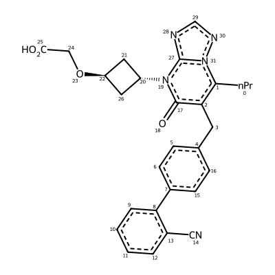 CCCc1c(Cc2ccc(-c3ccccc3C#N)cc2)c(=O)n([C@H]2C[C@H](OCC(=O)O)C2)c2ncnn12